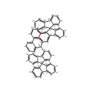 c1ccc(-c2ccccc2N(c2ccc3c(c2)-c2ccccc2C32c3ccccc3-c3ccccc32)c2cccc3c2-c2ccccc2C32c3ccccc3-c3ccccc32)cc1